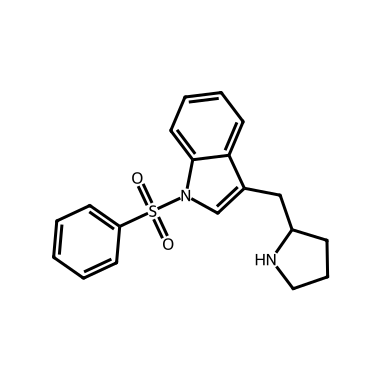 O=S(=O)(c1ccccc1)n1cc(CC2CCCN2)c2ccccc21